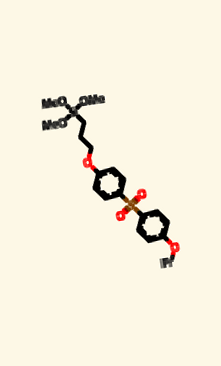 CO[Si](CCCOc1ccc(S(=O)(=O)c2ccc(OC(C)C)cc2)cc1)(OC)OC